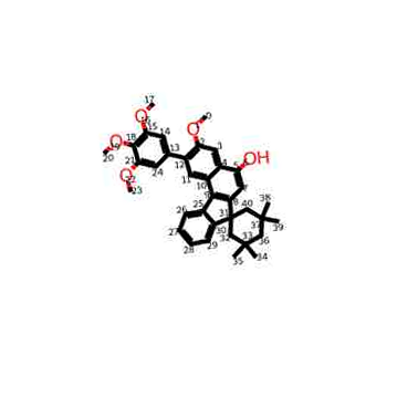 COc1cc2c(O)cc3c(c2cc1-c1cc(OC)c(OC)c(OC)c1)-c1ccccc1C31CC(C)(C)CC(C)(C)C1